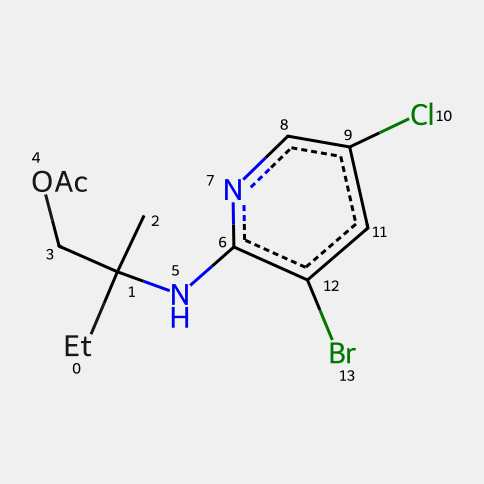 CCC(C)(COC(C)=O)Nc1ncc(Cl)cc1Br